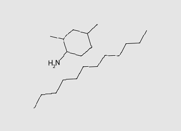 CC1CCC(N)C(C)C1.CCCCCCCCCCCC